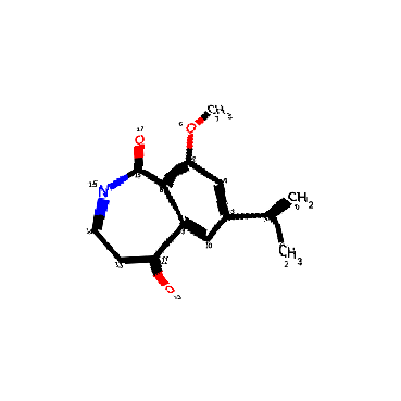 C=C(C)c1cc(OC)c2c(c1)C(=O)CC=NC2=O